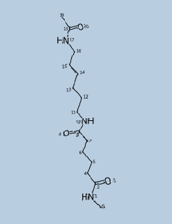 CNC(=O)CCCCC(=O)NCCCCCCNC(C)=O